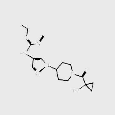 C=N/C(=N\CC)Nc1cnn(C2CCN(C(=O)C3(O)CC3)CC2)c1